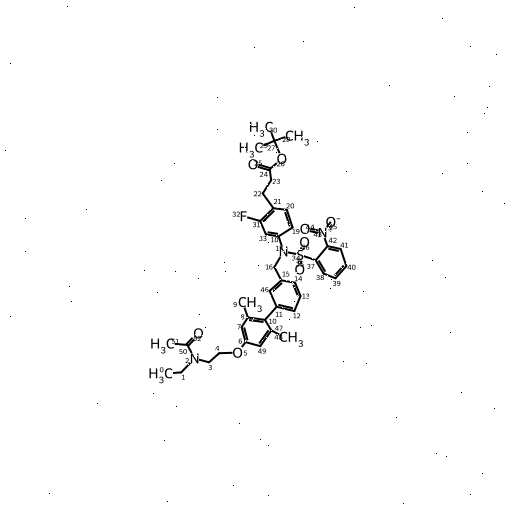 CCN(CCOc1cc(C)c(-c2cccc(CN(c3ccc(CCC(=O)OC(C)(C)C)c(F)c3)S(=O)(=O)c3ccccc3[N+](=O)[O-])c2)c(C)c1)C(C)=O